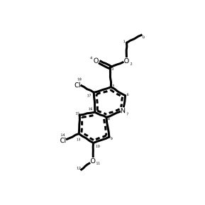 CCOC(=O)c1cnc2cc(OC)c(Cl)cc2c1Cl